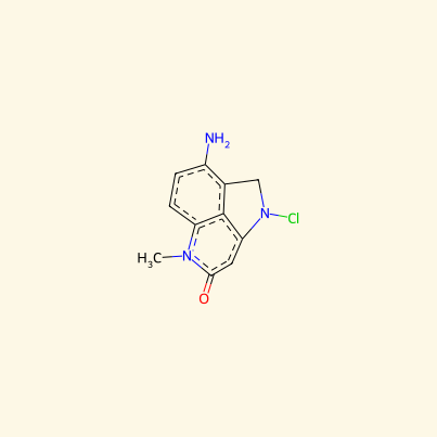 Cn1c(=O)cc2c3c(c(N)ccc31)CN2Cl